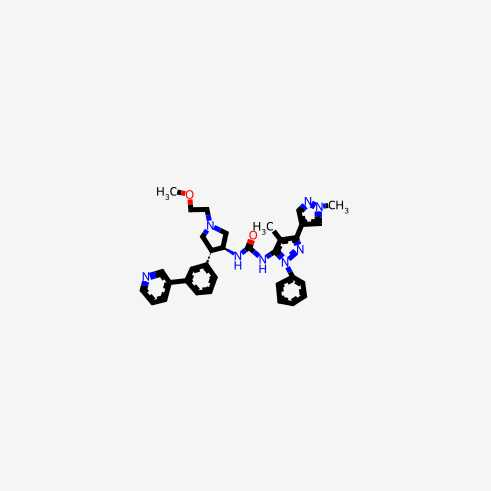 COCCN1C[C@@H](NC(=O)Nc2c(C)c(-c3cnn(C)c3)nn2-c2ccccc2)[C@H](c2cccc(-c3cccnc3)c2)C1